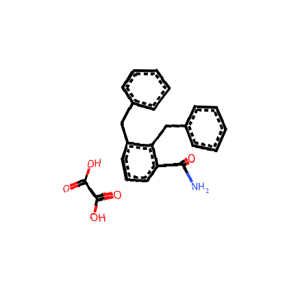 NC(=O)c1cccc(Cc2ccccc2)c1Cc1ccccc1.O=C(O)C(=O)O